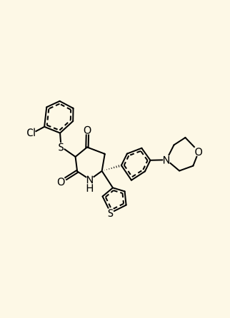 O=C1C[C@@](c2ccc(N3CCOCC3)cc2)(c2ccsc2)NC(=O)C1Sc1ccccc1Cl